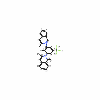 Cc1c(-[n+]2cc3ccccc3cc2C)cc(C(F)(F)F)cc1-[n+]1c(C)cc2ccccc2c1C